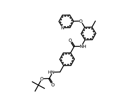 Cc1ccc(NC(=O)c2ccc(CNC(=O)OC(C)(C)C)cc2)cc1Oc1cccnc1